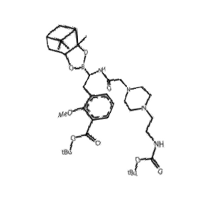 COc1c(CC(NC(=O)CN2CCN(CCNC(=O)OC(C)(C)C)CC2)B2OC3CC4CC(C4(C)C)C3(C)O2)cccc1C(=O)OC(C)(C)C